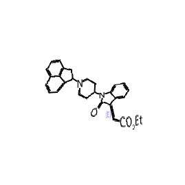 CCOC(=O)/C=C1/C(=O)N(C2CCN(C3Cc4cccc5cccc3c45)CC2)c2ccccc21